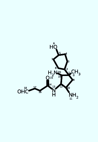 CC1(C2CCC(O)CC2)CC(N)C(NC(=O)CCC=O)C1N